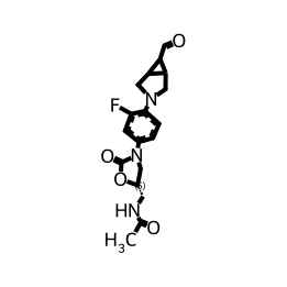 CC(=O)NC[C@H]1CN(c2ccc(N3CC4C(C=O)C4C3)c(F)c2)C(=O)O1